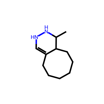 CC1NNC=C2CCCCCCC21